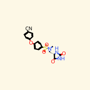 CN(C[C@@H]1NC(=O)NC1=O)S(=O)(=O)c1ccc(Oc2ccc(C#N)cc2)cc1